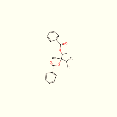 CCCC(OC(=O)c1ccccc1)(C(CC)CC)C(C)OC(=O)c1ccccc1